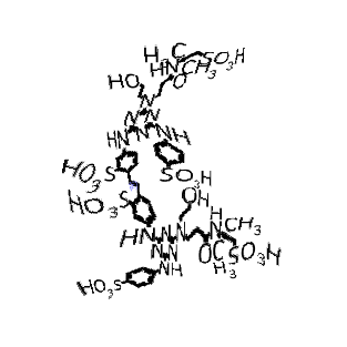 CC(C)(CS(=O)(=O)O)NC(=O)CCN(CCO)c1nc(Nc2ccc(S(=O)(=O)O)cc2)nc(Nc2ccc(/C=C/c3ccc(Nc4nc(Nc5ccc(S(=O)(=O)O)cc5)nc(N(CCO)CCC(=O)NC(C)(C)CS(=O)(=O)O)n4)cc3S(=O)(=O)O)c(S(=O)(=O)O)c2)n1